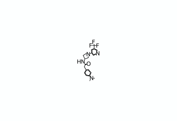 CN(C)c1ccc(CC(=O)NC2CCN(c3cncc(C(F)(F)F)c3)C2)cc1